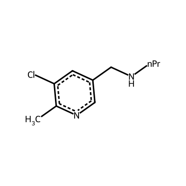 CCCNCc1cnc(C)c(Cl)c1